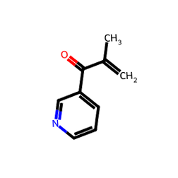 C=C(C)C(=O)c1cccnc1